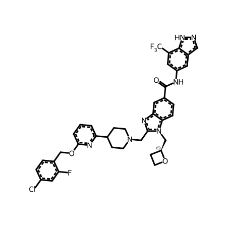 O=C(Nc1cc(C(F)(F)F)c2[nH]ncc2c1)c1ccc2c(c1)nc(CN1CCC(c3cccc(OCc4ccc(Cl)cc4F)n3)CC1)n2C[C@@H]1CCO1